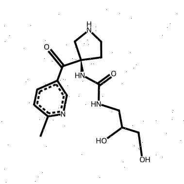 Cc1ccc(C(=O)[C@@]2(NC(=O)NCC(O)CO)CCNC2)cn1